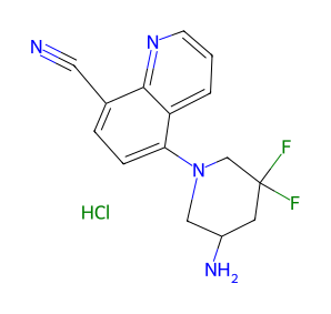 Cl.N#Cc1ccc(N2CC(N)CC(F)(F)C2)c2cccnc12